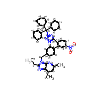 CCc1nc2c(C)cc(C)nc2n1Cc1ccc(-c2cc([N+](=O)[O-])ccc2-c2nnn(C(c3ccccc3)(c3ccccc3)c3ccccc3)n2)cc1